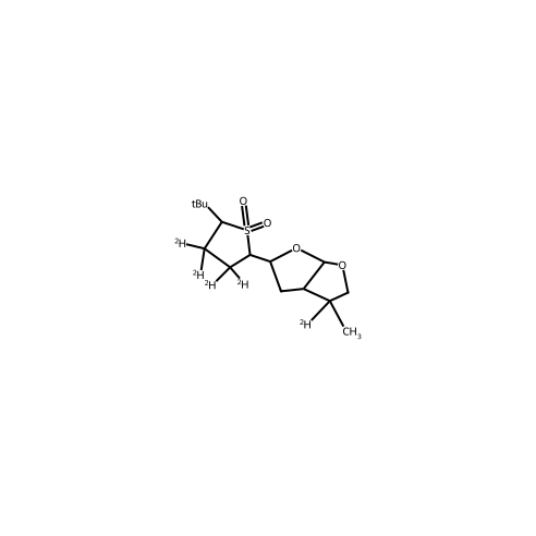 [2H]C1(C)COC2OC(C3C([2H])([2H])C([2H])([2H])C(C(C)(C)C)S3(=O)=O)CC21